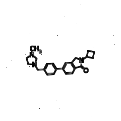 CN1CCN(Cc2ccc(-c3ccc4c(c3)CN(C3CCC3)C4=O)cc2)C1